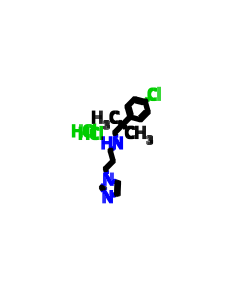 CC(C)(CNCCCn1ccnc1)c1ccc(Cl)cc1.Cl.Cl